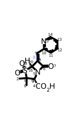 CC1(C)[C@H](C(=O)O)N2C(=O)/C(=C\c3ccccn3)[C@H]2S1(=O)=O